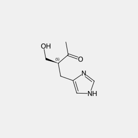 CC(=O)[C@H](CO)Cc1c[nH]cn1